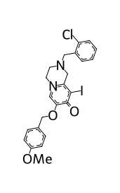 COc1ccc(COc2cn3c(c(I)c2=O)CN(Cc2ccccc2Cl)CC3)cc1